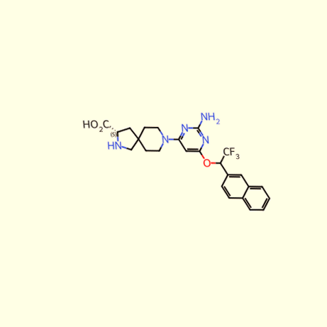 Nc1nc(OC(c2ccc3ccccc3c2)C(F)(F)F)cc(N2CCC3(CC2)CN[C@H](C(=O)O)C3)n1